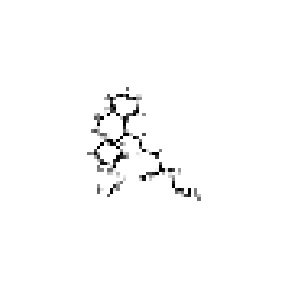 CCOC(=O)CCCC1c2ccccc2CCc2ccc(OC)cc21